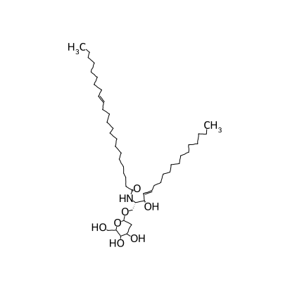 CCCCCCCC/C=C/CCCCCCCCCCCCCC(=O)N[C@@H](COC1CC(O)C(O)C(CO)O1)[C@H](O)/C=C/CCCCCCCCCCCCC